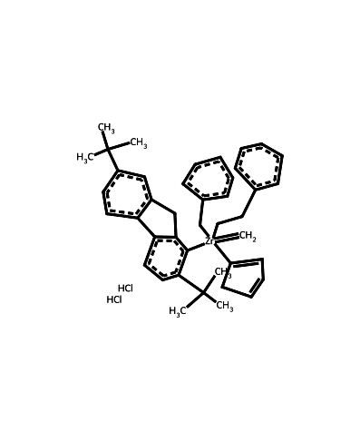 Cl.Cl.[CH2]=[Zr]([CH2]Cc1ccccc1)([CH2]c1ccccc1)([C]1=CC=CC1)[c]1c(C(C)(C)C)ccc2c1Cc1cc(C(C)(C)C)ccc1-2